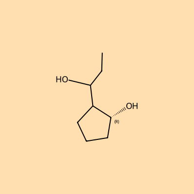 CCC(O)C1CCC[C@H]1O